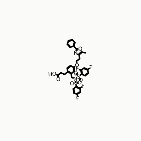 Cc1oc(-c2ccccc2)nc1CCOc1ccc(CCC(=O)O)c(CN(S(=O)(=O)c2ccc(F)cc2F)S(=O)(=O)c2ccc(F)cc2F)c1